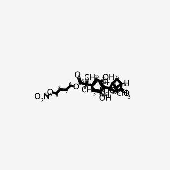 CC(C)(C(=O)OCCCCO[N+](=O)[O-])c1cc(O)c([C@H]2CC(=O)[C@H]3C[C@H]2C3(C)C)c(O)c1